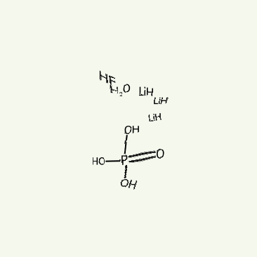 F.O.O=P(O)(O)O.[LiH].[LiH].[LiH]